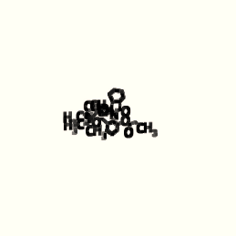 CCC(=O)Oc1cccc(CO[Si](C(C)C)(C(C)C)C(C)C)c1N1C(=O)c2ccccc2C1=O